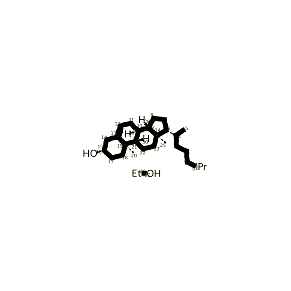 CC(C)CCCC(C)[C@H]1CC[C@H]2[C@@H]3CC=C4C[C@@H](O)CC[C@]4(C)[C@H]3CC[C@]12C.CCO